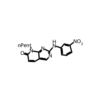 CCCCCn1c(=O)ccc2cnc(Nc3cccc([N+](=O)[O-])c3)nc21